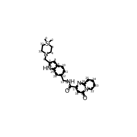 C[Si]1(C)CCN(Cc2cc3ccc(CNC(=O)c4cc(=O)n5ccccc5n4)cc3[nH]2)CC1